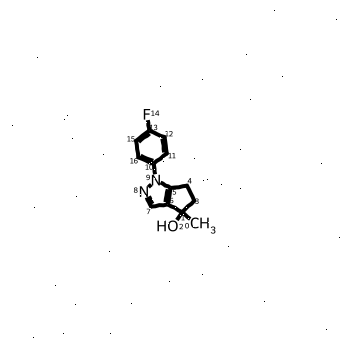 CC1(O)CCc2c1cnn2-c1ccc(F)cc1